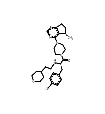 C[C@@H]1CCc2ncnc(N3CCN(C(=O)[C@@H](Cc4ccc(Cl)cc4)NCCC4CCOCC4)CC3)c21